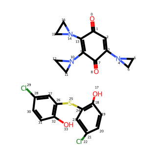 O=C1C=C(N2CC2)C(=O)C(N2CC2)=C1N1CC1.Oc1ccc(Cl)cc1Sc1cc(Cl)ccc1O